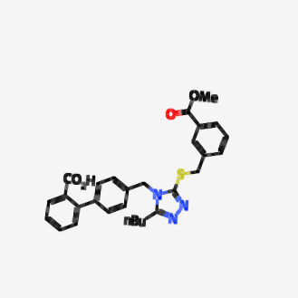 CCCCc1nnc(SCc2cccc(C(=O)OC)c2)n1Cc1ccc(-c2ccccc2C(=O)O)cc1